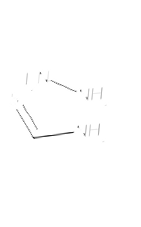 NC=S.NN